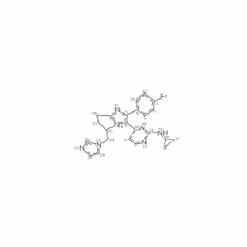 Fc1ccc(-c2nc3n(c2-c2ccnc(NC4CC4)n2)C(Cn2ccnc2)CC3)cc1